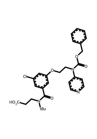 CC(C)(C)N(CCC(=O)O)C(=O)c1cc(Cl)cc(OCCN(C(=O)OCc2ccccc2)c2ccncc2)c1